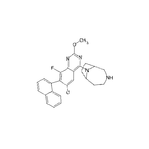 COc1nc(N2C3CCNCC2CC3)c2cc(Cl)c(-c3cccc4ccccc34)c(F)c2n1